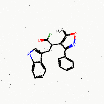 Cc1onc(-c2ccccc2)c1C(Cc1c[nH]c2ccccc12)C(=O)Cl